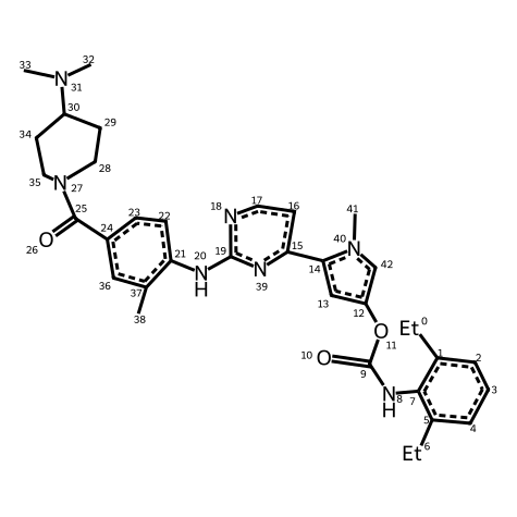 CCc1cccc(CC)c1NC(=O)Oc1cc(-c2ccnc(Nc3ccc(C(=O)N4CCC(N(C)C)CC4)cc3C)n2)n(C)c1